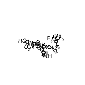 CC1(C)CCC(CN2CCN(c3ccc(C(=O)NS(=O)(=O)c4ccc(NC[C@H]5CC[C@](C)(O)CC5)c([N+](=O)[O-])c4)c(Oc4cnc5[nH]ccc5c4)c3)CC2)=C(c2cc(-c3ccc(C(O)(C(F)(F)F)C(F)(F)F)cc3)cs2)C1